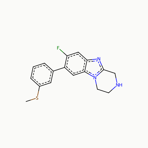 CSc1cccc(-c2cc3c(cc2F)nc2n3CCNC2)c1